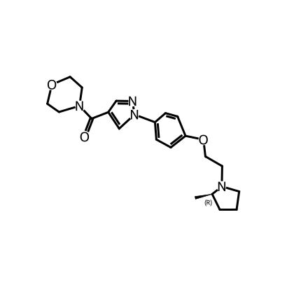 C[C@@H]1CCCN1CCOc1ccc(-n2cc(C(=O)N3CCOCC3)cn2)cc1